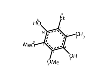 CCc1c(C)c(O)c(OC)c(OC)c1O